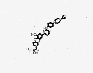 CC(C#N)C(=O)N1CC[C@H](Oc2ccc(-c3ncnc(Nc4ccc(N5CCN(C6COC6)CC5)cc4)n3)cc2C#N)[C@@H](F)C1